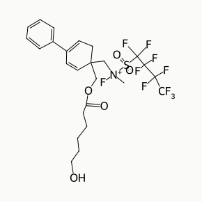 C[N+](F)(CC1(COC(=O)CCCCCO)C=CC(c2ccccc2)=CC1)S(=O)(=O)C(F)(F)C(F)(F)C(F)(F)C(F)(F)F